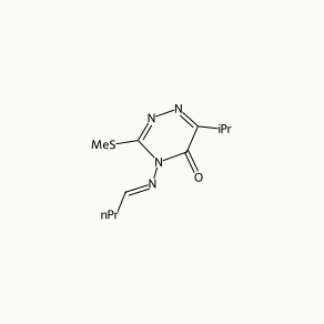 CCCC=Nn1c(SC)nnc(C(C)C)c1=O